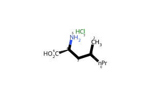 CCCC(C)C[C@H](N)C(=O)O.Cl